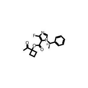 CC(=O)C1(OC(=O)c2c(F)ncn2[C@H](C)c2ccccc2)CCC1